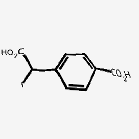 O=C(O)c1ccc(C(I)C(=O)O)cc1